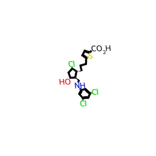 O=C(O)c1ccc(CCC[C@@H]2[C@@H](CNc3cc(Cl)cc(Cl)c3)[C@H](O)C[C@@H]2Cl)s1